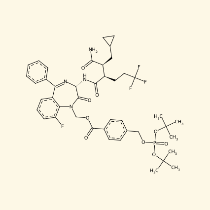 CC(C)(C)OP(=O)(OCc1ccc(C(=O)OCN2C(=O)[C@@H](NC(=O)[C@H](CCC(F)(F)F)[C@H](CC3CC3)C(N)=O)N=C(c3ccccc3)c3cccc(F)c32)cc1)OC(C)(C)C